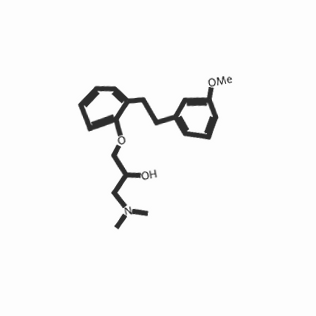 COc1cccc(CCc2ccccc2OCC(O)CN(C)C)c1